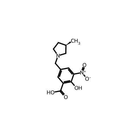 C[C@@H]1CCN(Cc2cc(C(=O)O)c(O)c([N+](=O)[O-])c2)C1